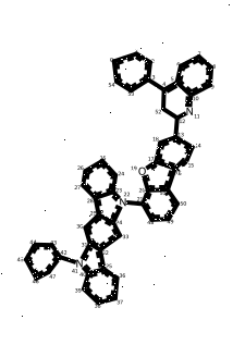 c1ccc(C2=c3ccccc3=NC(c3ccc4c(c3)oc3c(-n5c6ccccc6c6cc7c(cc65)c5ccccc5n7-c5ccccc5)cccc34)C2)cc1